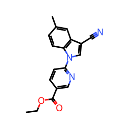 CCOC(=O)c1ccc(-n2cc(C#N)c3cc(C)ccc32)nc1